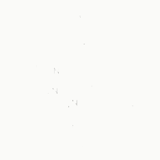 C1CCCN([N]N2CCCCCCC2)CCC1